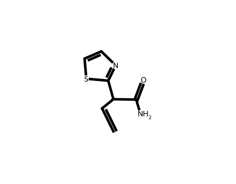 C=C[C](C(N)=O)c1nccs1